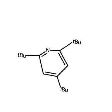 CCC(C)c1cc(C(C)(C)C)nc(C(C)(C)C)c1